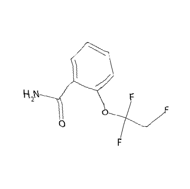 NC(=O)c1ccccc1OC(F)(F)CF